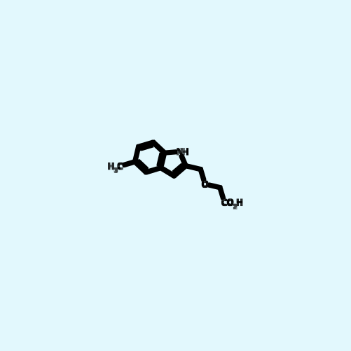 Cc1ccc2[nH]c(COCC(=O)O)cc2c1